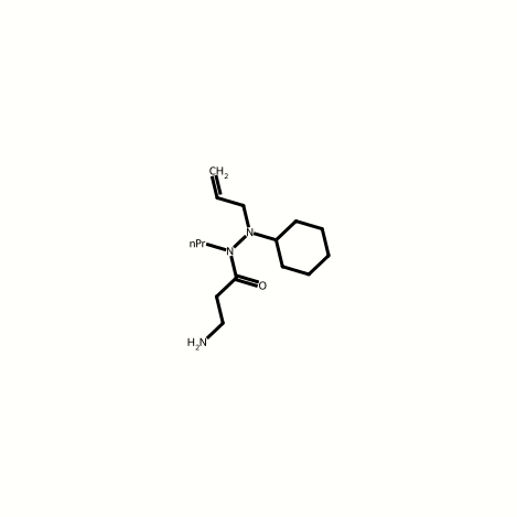 C=CCN(C1CCCCC1)N(CCC)C(=O)CCN